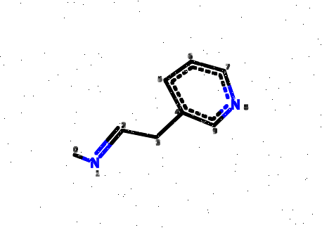 CN=CCc1cccnc1